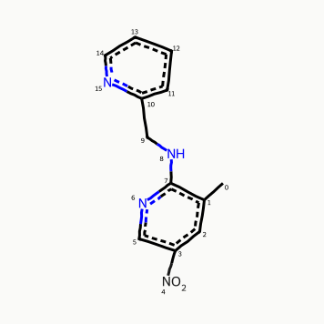 Cc1cc([N+](=O)[O-])cnc1NCc1ccccn1